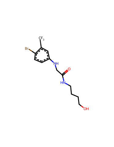 O=C(CNc1ccc(Br)c(C(F)(F)F)c1)NCCCCO